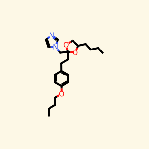 CCCCOc1ccc(CCC2(Cn3ccnc3)OCC(CCCC)O2)cc1